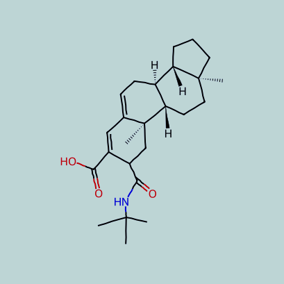 CC(C)(C)NC(=O)C1C[C@@]2(C)C(=CC[C@H]3[C@@H]4CCC[C@@]4(C)CC[C@@H]32)C=C1C(=O)O